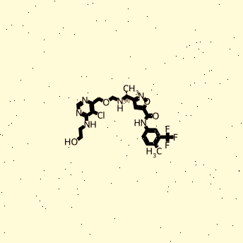 Cc1ccc(NC(=O)c2cc([C@@H](C)NCOCc3ncnc(NCCO)c3Cl)no2)cc1C(F)(F)F